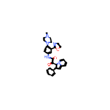 CN1CCN(c2ccc(NC(=O)C(=O)c3c(-c4ccccc4)cc4ccccn34)cc2-c2ncco2)CC1